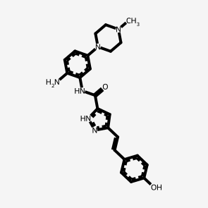 CN1CCN(c2ccc(N)c(NC(=O)c3cc(C=Cc4ccc(O)cc4)n[nH]3)c2)CC1